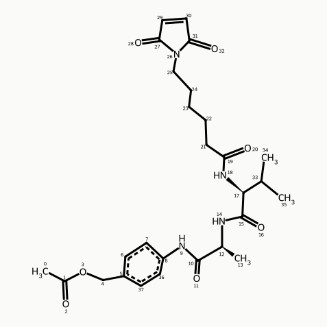 CC(=O)OCc1ccc(NC(=O)[C@H](C)NC(=O)[C@@H](NC(=O)CCCCCN2C(=O)C=CC2=O)C(C)C)cc1